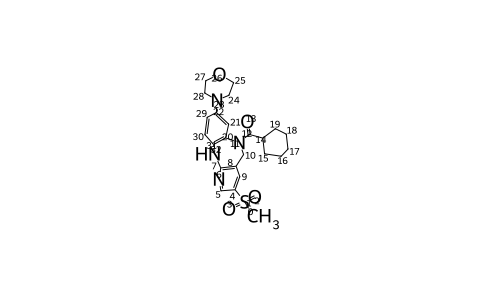 CS(=O)(=O)c1cnc2c(c1)CN(C(=O)C1CCCCC1)c1cc(N3CCOCC3)ccc1N2